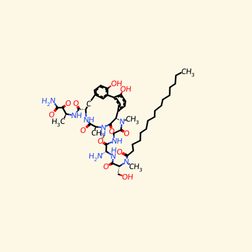 CCCCCCCCCCCCCCCC(=O)N(C)[C@H](CO)C(=O)N[C@H](N)C(=O)NCC(=O)N(C)[C@@H]1C(=O)N[C@@H](C)C(=O)N[C@H](C(=O)N[C@@H](C)C(=O)C(N)=O)Cc2ccc(O)c(c2)-c2cc1ccc2O